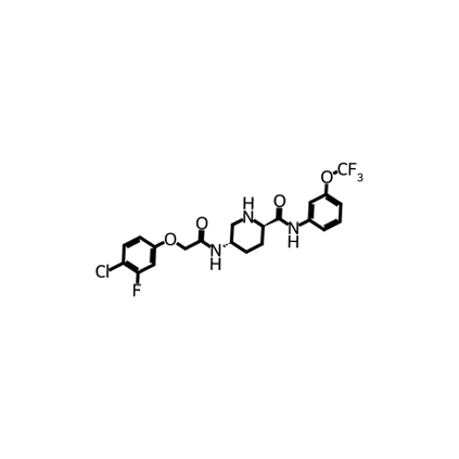 O=C(COc1ccc(Cl)c(F)c1)N[C@H]1CC[C@H](C(=O)Nc2cccc(OC(F)(F)F)c2)NC1